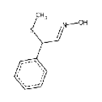 CSC(C=NO)c1ccccc1